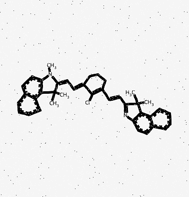 CN1/C(=C/C=C2\CCCC(/C=C/C3=Nc4ccc5ccccc5c4C3(C)C)=C2Cl)C(C)(C)c2c1ccc1ccccc21